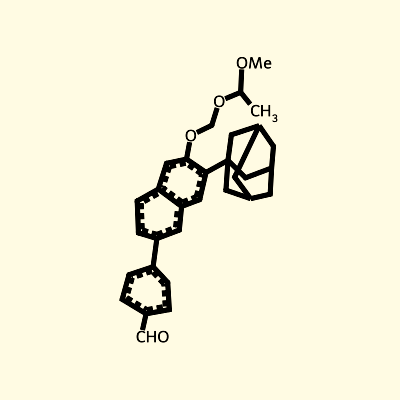 COC(C)OCOc1cc2ccc(-c3ccc(C=O)cc3)cc2cc1C12CC3CC(CC(C3)C1)C2